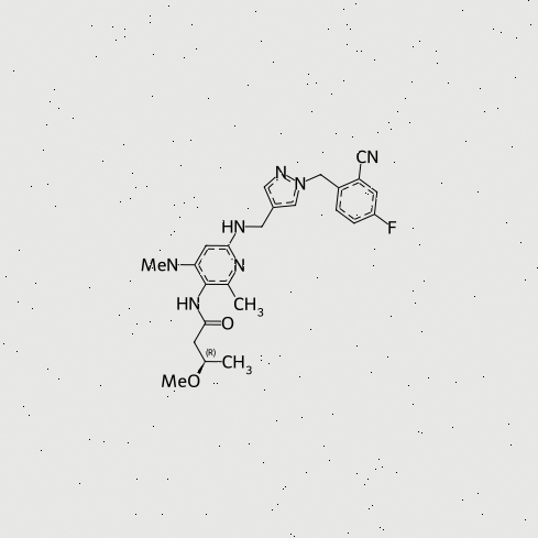 CNc1cc(NCc2cnn(Cc3ccc(F)cc3C#N)c2)nc(C)c1NC(=O)C[C@@H](C)OC